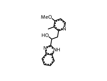 COc1ccnc(CC(O)c2nc3ccccc3[nH]2)c1C